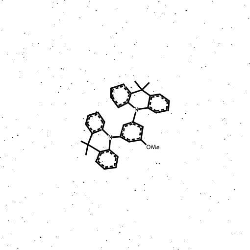 COc1cc(N2c3ccccc3C(C)(C)c3ccccc32)cc(N2c3ccccc3C(C)(C)c3ccccc32)c1